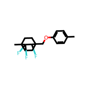 Cc1ccc(OCC23CCC(C)(CC2)C(F)(F)C3F)cc1